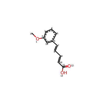 COc1cccc(C=CC=CC(=O)O)c1